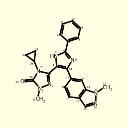 Cn1nc(-c2[nH]c(-c3ccccc3)nc2-c2ccc3cnn(C)c3c2)n(C2CC2)c1=O